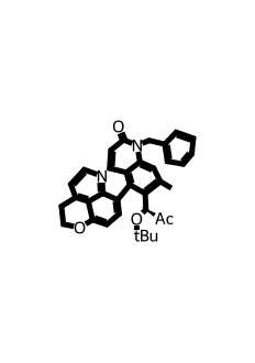 CC(=O)[C@@H](OC(C)(C)C)c1c(C)cc2c(ccc(=O)n2Cc2ccccc2)c1-c1ccc2c3c(ccnc13)CCO2